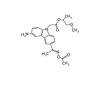 COCC(C)OC(=O)Cn1c2ccc(N)cc2c2cc(/C(C)=N/OC(C)=O)ccc21